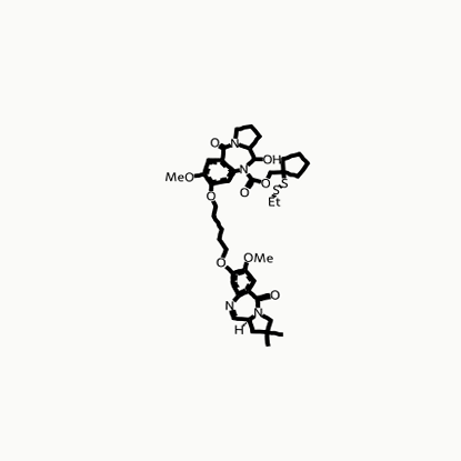 CCSSC1(COC(=O)N2c3cc(OCCCCCOc4cc5c(cc4OC)C(=O)N4CC(C)(C)C[C@H]4C=N5)c(OC)cc3C(=O)N3CCCC3C2O)CCCC1